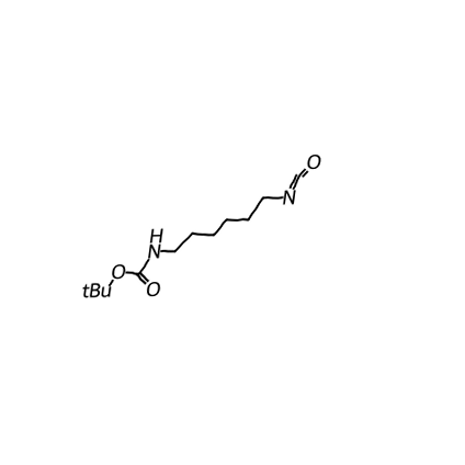 CC(C)(C)OC(=O)NCCCCCCN=C=O